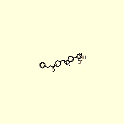 O=C(CCc1ccccc1)N1CCC(Cn2cnc3cc(-c4cn[nH]c4C(F)(F)F)ccc32)CC1